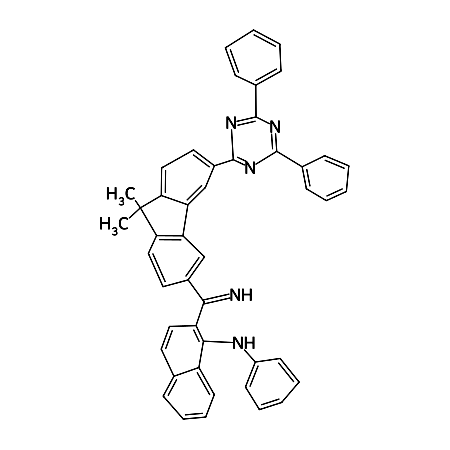 CC1(C)c2ccc(C(=N)c3ccc4ccccc4c3Nc3ccccc3)cc2-c2cc(-c3nc(-c4ccccc4)nc(-c4ccccc4)n3)ccc21